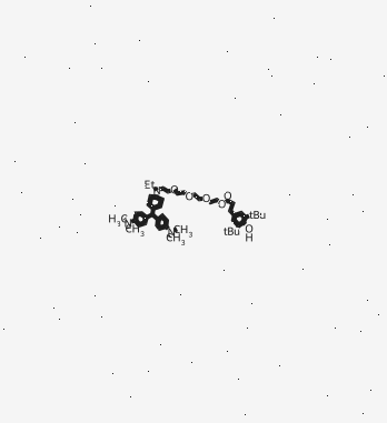 CCN(CCOCCOCCOCCOC(=O)CCc1cc(C(C)(C)C)c(O)c(C(C)(C)C)c1)c1ccc(C(c2ccc(N(C)C)cc2)c2ccc(N(C)C)cc2)cc1